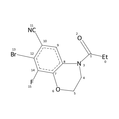 CCC(=O)N1CCOc2c1cc(C#N)c(Br)c2F